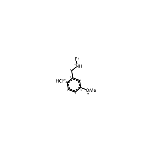 COc1cccc(CNF)c1.Cl